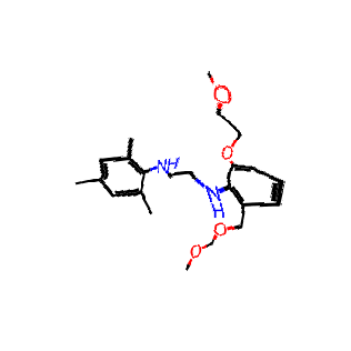 COCCOc1cccc(COCOC)c1NCCNc1c(C)cc(C)cc1C